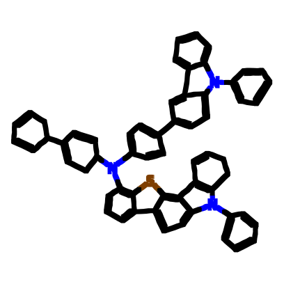 C1=CCC(C2=CCC(N(c3ccc(-c4ccc5c(c4)c4ccccc4n5-c4ccccc4)cc3)c3cccc4c3sc3c4ccc4c3c3c(n4-c4ccccc4)CCC=C3)C=C2)C=C1